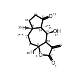 C=C1C(=O)O[C@@H]2C[C@H](C)[C@@H]3CCC(=O)[C@@]3(C)[C@@H](O)C12